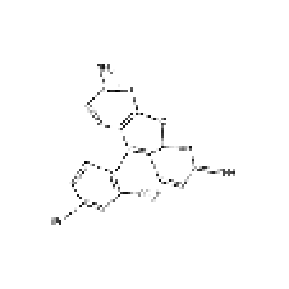 CC(C)c1ccc(-c2c3ccc(=N)cc-3oc3cc(N)ccc23)c(C(=O)O)c1